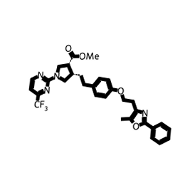 COC(=O)[C@H]1CN(c2nccc(C(F)(F)F)n2)C[C@H]1CCc1ccc(OCCc2nc(-c3ccccc3)oc2C)cc1